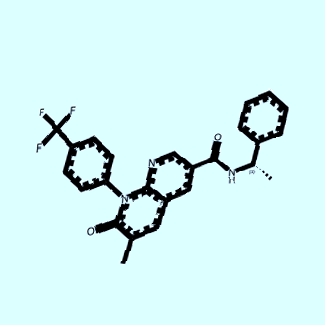 Cc1cc2cc(C(=O)N[C@@H](C)c3ccccc3)cnc2n(-c2ccc(C(F)(F)F)cc2)c1=O